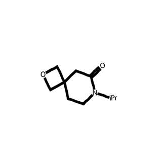 CC(C)N1CCC2(COC2)CC1=O